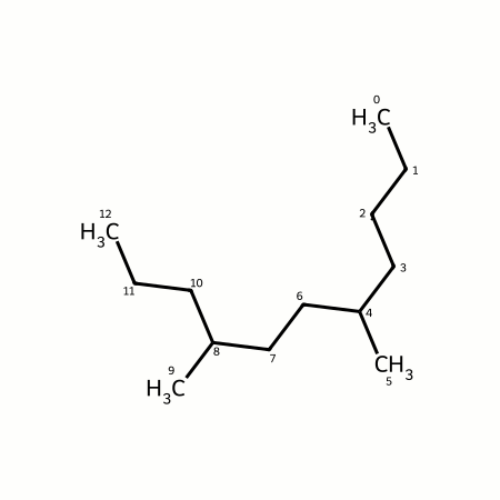 CC[CH]CC(C)CCC(C)CCC